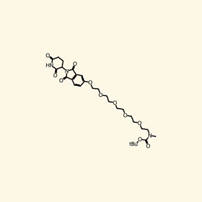 CN(CCOCCOCCOCCOCCOc1ccc2c(c1)C(=O)N(C1CCC(=O)NC1=O)C2=O)C(=O)OC(C)(C)C